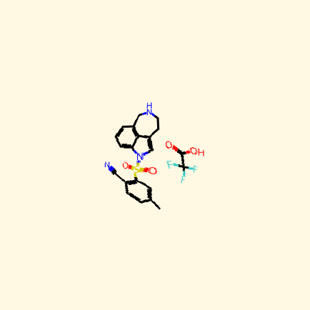 Cc1ccc(C#N)c(S(=O)(=O)n2cc3c4c(cccc42)CNCC3)c1.O=C(O)C(F)(F)F